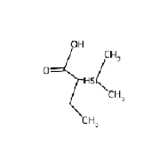 CCC(C(=O)O)[SiH](C)C